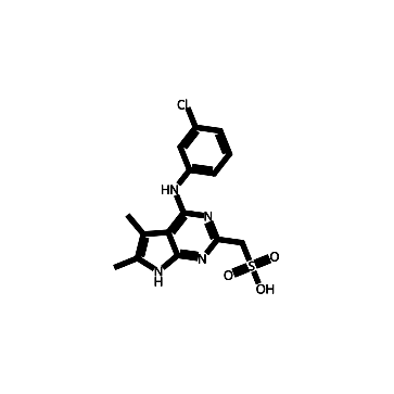 Cc1[nH]c2nc(CS(=O)(=O)O)nc(Nc3cccc(Cl)c3)c2c1C